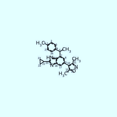 Cc1ccc(C(C)c2cc(-c3c(C)noc3C)cc3nc(C4CC4)[nH]c23)cc1